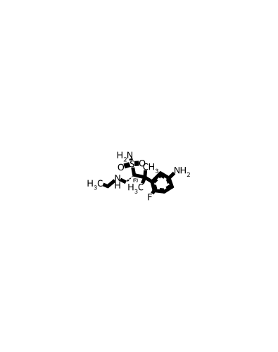 CCNC[C@@H](C(C)(C)c1cc(N)ccc1F)S(N)(=O)=O